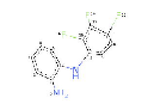 Nc1ccccc1Nc1ccc(F)c(F)c1F